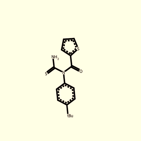 CC(C)(C)c1ccc(N(C(=O)c2cccs2)C(N)=S)cc1